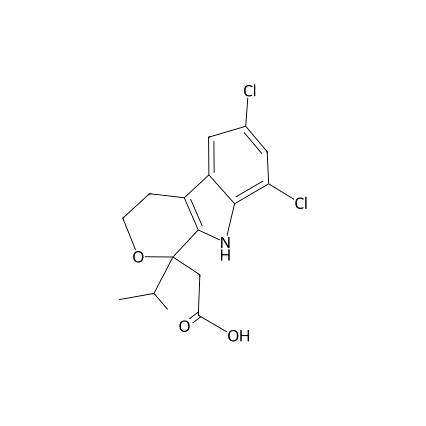 CC(C)C1(CC(=O)O)OCCc2c1[nH]c1c(Cl)cc(Cl)cc21